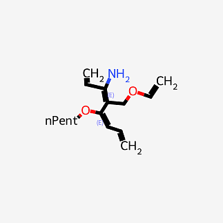 C=C/C=C(OCCCCC)\C(COC=C)=C(\N)C=C